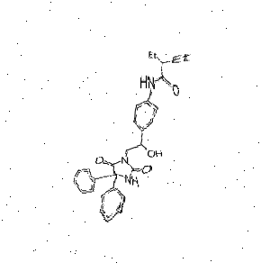 CCC(CC)C(=O)Nc1ccc(C(O)CN2C(=O)NC(c3ccccc3)(c3ccccc3)C2=O)cc1